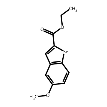 CCOC(=O)c1cc2cc(OC)ccc2[se]1